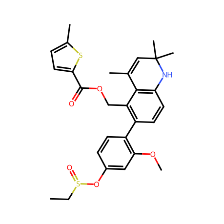 CCS(=O)Oc1ccc(-c2ccc3c(c2COC(=O)c2ccc(C)s2)C(C)=CC(C)(C)N3)c(OC)c1